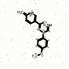 C=C(\C=C/C(=C\C)C(/C)=N/N(C=N)c1ccc(OC(F)(F)F)cc1)CCC